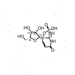 O=C1C=C[N+](OP(=O)(O)O)([C@@H]2O[C@H](CO)[C@@H](O)[C@H]2O)C(=O)N1